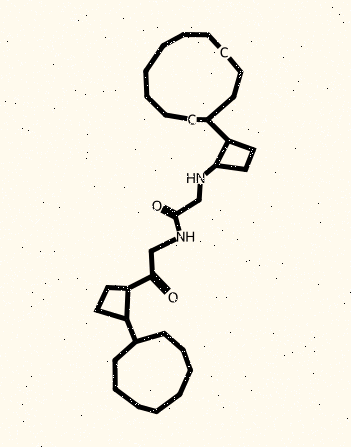 O=C(CNC1CCC1C1CCCCCCCCCC1)NCC(=O)C1CCC1C1CCCCCCCC1